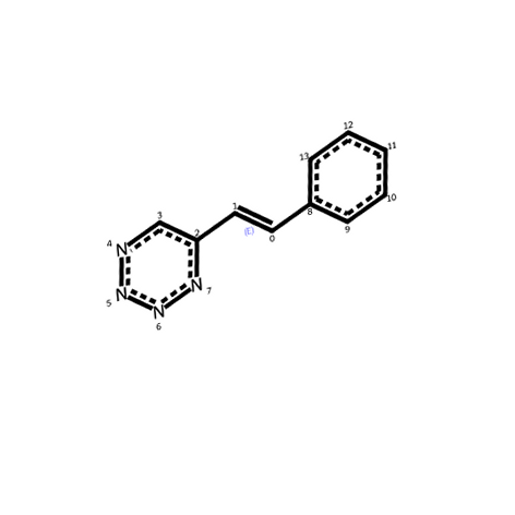 C(=C\c1cnnnn1)/c1ccccc1